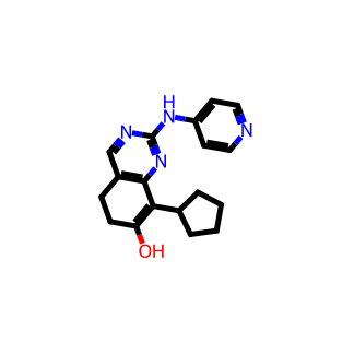 OC1=C(C2CCCC2)c2nc(Nc3ccncc3)ncc2CC1